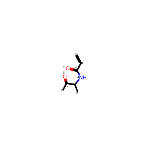 C=CC(=O)NC(C)C(C)=O